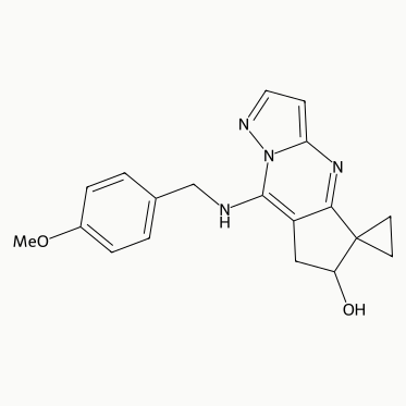 COc1ccc(CNc2c3c(nc4ccnn24)C2(CC2)C(O)C3)cc1